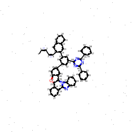 C/C=C\C=C/c1cc2ccccc2cc1-c1cc(-c2ccc3oc4c5ccccc5c5nc6ccccc6n5c4c3c2)cc(-c2nc(-c3ccccc3)nc(-c3ccccc3)n2)c1